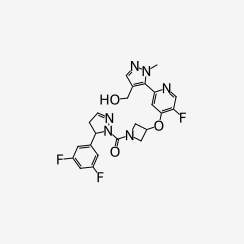 Cn1ncc(CO)c1-c1cc(OC2CN(C(=O)N3N=CCC3c3cc(F)cc(F)c3)C2)c(F)cn1